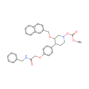 CC(C)(C)OC(=O)ON1CCC(c2ccc(OCC(=O)NCc3ccccc3)cc2)C(OCc2ccc3ccccc3c2)C1